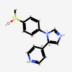 C[S+]([O-])c1ccc(-n2cncc2-c2ccncc2)cc1